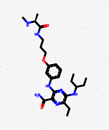 CCc1nc(C(N)=O)c(Nc2cccc(OCCCNC(=O)[C@H](C)NC)c2)nc1NC(CC)CC